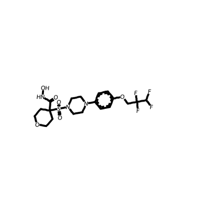 O=C(NO)C1(S(=O)(=O)N2CCN(c3ccc(OCC(F)(F)C(F)F)cc3)CC2)CCOCC1